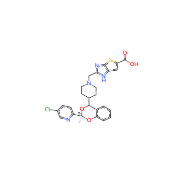 C[C@@]1(c2ccc(Cl)cn2)Oc2ccccc2C(C2CCN(Cc3nc4sc(C(=O)O)cc4[nH]3)CC2)O1